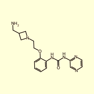 NCC1CN(CCOc2ccccc2NC(=O)Nc2cnccn2)C1